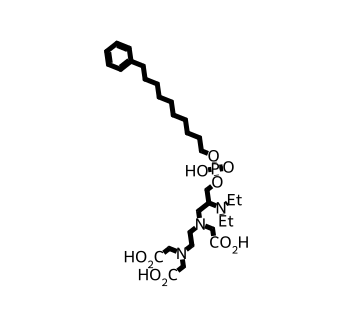 CCN(CC)C(COP(=O)(O)OCCCCCCCCCCc1ccccc1)CN(CCN(CC(=O)O)CC(=O)O)CC(=O)O